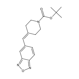 CC(C)(C)OC(=O)N1CCC(=Cc2ccc3nonc3c2)CC1